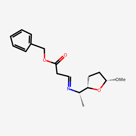 CO[C@H]1CC[C@@H]([C@H](C)/N=C/CC(=O)OCc2ccccc2)O1